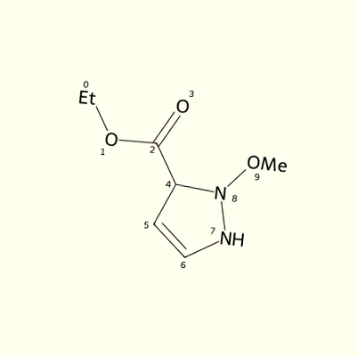 CCOC(=O)C1C=CNN1OC